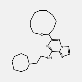 c1cn2cc(C3CCCCCCCCCC3)nc(NCCC3CCCCCCC3)c2n1